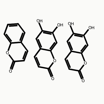 O=c1ccc2cc(O)c(O)cc2o1.O=c1ccc2cc(O)c(O)cc2o1.O=c1ccc2ccccc2o1